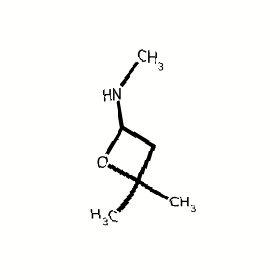 CNC1CC(C)(C)O1